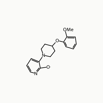 COc1ccccc1OC1CCN(c2cccnc2[O])CC1